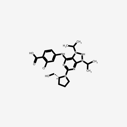 CC(C)N1NN(C(C)C)c2c(Nc3ccc(C(=O)O)c(Cl)c3)nc(N3CCC[C@@H]3CO)nc21